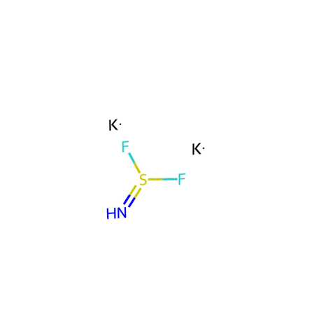 N=S(F)F.[K].[K]